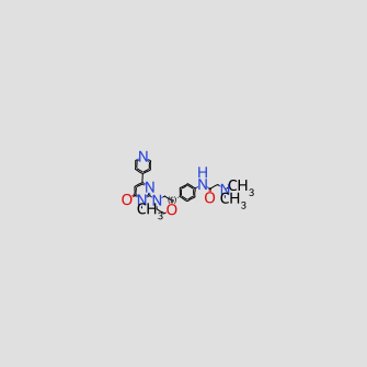 CN(C)CC(=O)Nc1ccc([C@H]2CN(c3nc(-c4ccncc4)cc(=O)n3C)CCO2)cc1